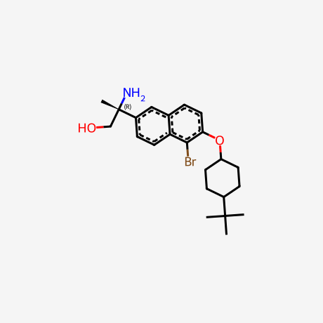 CC(C)(C)C1CCC(Oc2ccc3cc([C@@](C)(N)CO)ccc3c2Br)CC1